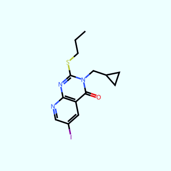 CCCSc1nc2ncc(I)cc2c(=O)n1CC1CC1